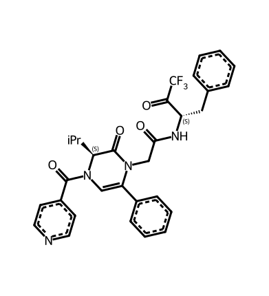 CC(C)[C@H]1C(=O)N(CC(=O)N[C@@H](Cc2ccccc2)C(=O)C(F)(F)F)C(c2ccccc2)=CN1C(=O)c1ccncc1